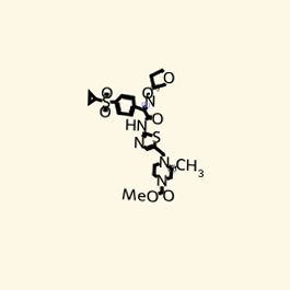 COC(=O)N1CCN(Cc2cnc(NC(=O)/C(=N/O[C@@H]3CCOC3)c3ccc(S(=O)(=O)C4CC4)cc3)s2)[C@H](C)C1